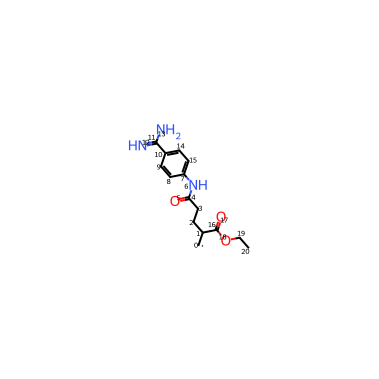 [CH2]C(CCC(=O)Nc1ccc(C(=N)N)cc1)C(=O)OCC